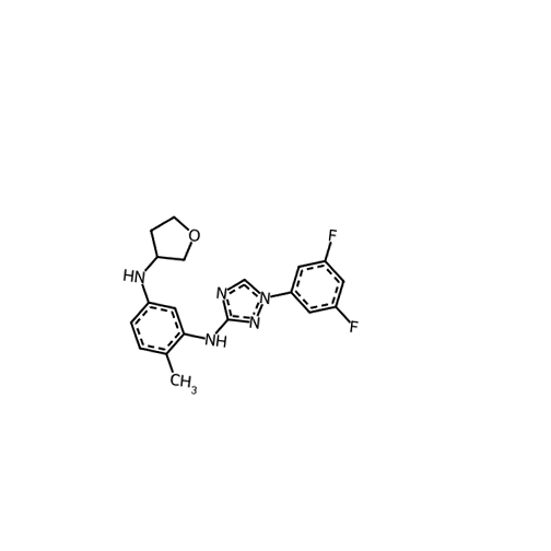 Cc1ccc(NC2CCOC2)cc1Nc1ncn(-c2cc(F)cc(F)c2)n1